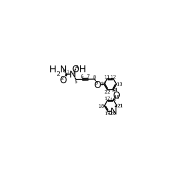 NC(=O)N(O)CC#CCOc1cccc(Oc2cccnc2)c1